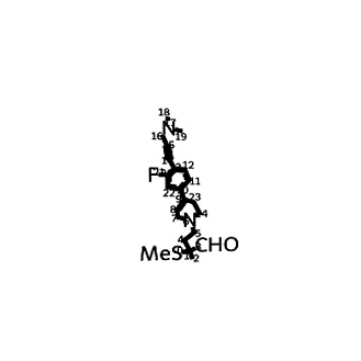 CSC(C)(C=O)CCN1CC=C(c2ccc(C#CCN(C)C)c(F)c2)CC1